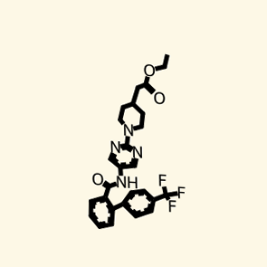 CCOC(=O)CC1CCN(c2ncc(NC(=O)c3ccccc3-c3ccc(C(F)(F)F)cc3)cn2)CC1